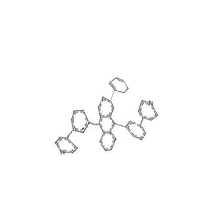 C1=CCCC(c2ccc3c(-c4cccc(-c5ccncc5)c4)c4ccccc4c(-c4cccc(-c5ccncc5)c4)c3c2)=C1